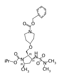 CC(C)OC(=O)N1[C@H](C)C[C@H](NS(=O)(=O)N(C)C)[C@@H]1COC1CCN(C(=O)OCc2ccccc2)CC1